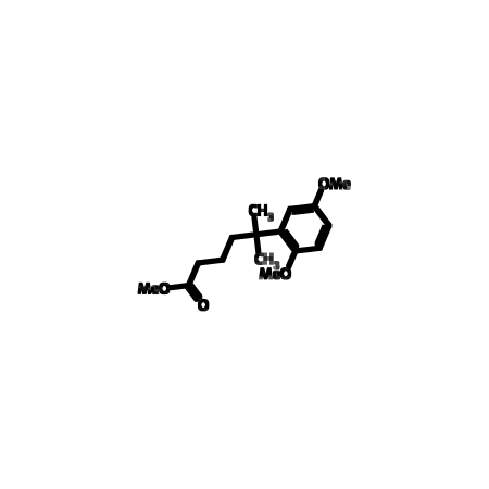 COC(=O)CCCC(C)(C)c1cc(OC)ccc1OC